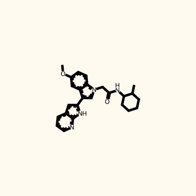 COc1ccc2c(c1)c(-c1cc3cccnc3[nH]1)cn2CC(=O)NC1CCCCC1C